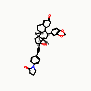 C[C@]12C[C@H](c3ccc4c(c3)OCO4)C3=C4CCC(=O)C=C4CC[C@H]3[C@@H]1CC[C@@]2(O)C#Cc1ccc(N2CCCC2=O)cc1